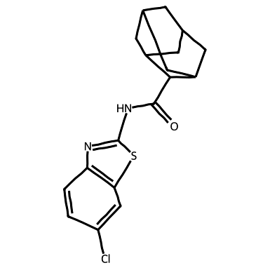 O=C(Nc1nc2ccc(Cl)cc2s1)C1C2CC3CC(C2)CC1C3